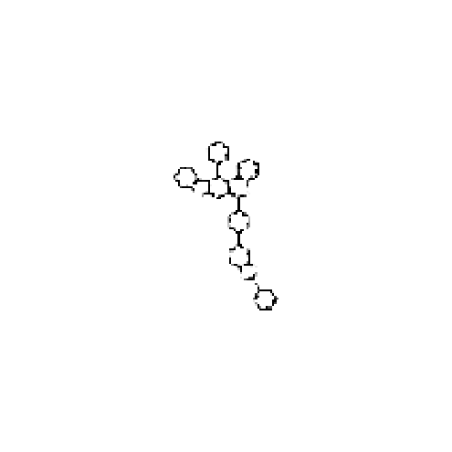 c1ccc(-c2nc3ccc(-c4ccc(-c5nc6ccccc6c6c(-c7ccccc7)c7c(cc56)oc5ccccc57)cc4)cc3s2)cc1